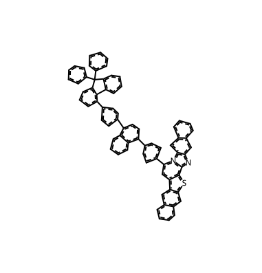 c1ccc(C2(c3ccccc3)c3ccccc3-c3c(-c4ccc(-c5ccc(-c6ccc(-c7cc8c9cc%10ccccc%10cc9sc8c8nc9cc%10ccccc%10cc9n78)cc6)c6ccccc56)cc4)cccc32)cc1